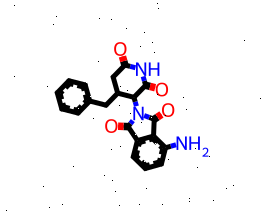 Nc1cccc2c1C(=O)N(C1C(=O)NC(=O)CC1Cc1ccccc1)C2=O